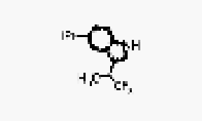 CC(C)c1ccc2[nH]cc(C(C)C(F)(F)F)c2c1